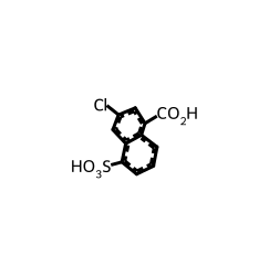 O=C(O)c1cc(Cl)cc2c(S(=O)(=O)O)cccc12